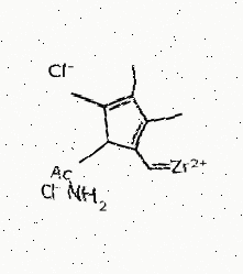 CC(N)=O.CC1=C(C)C(C)C([CH]=[Zr+2])=C1C.[Cl-].[Cl-]